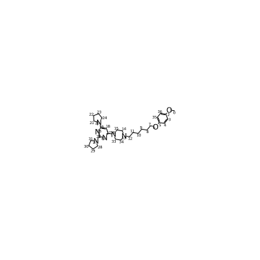 COc1ccc(OCCCCCCN2CCN(c3cc(N4CCCC4)nc(N4CCCC4)n3)CC2)cc1